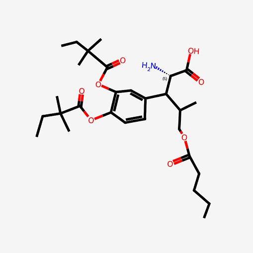 CCCCC(=O)OCC(C)C(c1ccc(OC(=O)C(C)(C)CC)c(OC(=O)C(C)(C)CC)c1)[C@H](N)C(=O)O